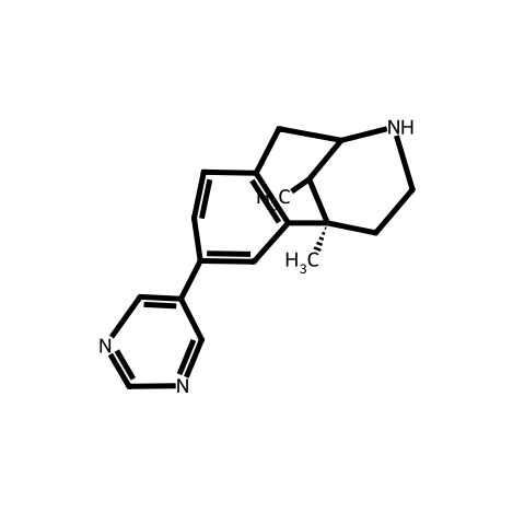 CC1C2Cc3ccc(-c4cncnc4)cc3[C@]1(C)CCN2